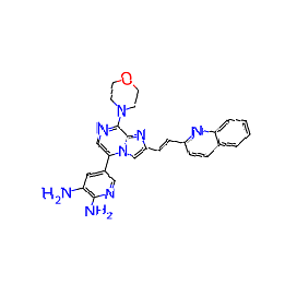 Nc1cc(-c2cnc(N3CCOCC3)c3nc(/C=C/c4ccc5ccccc5n4)cn23)cnc1N